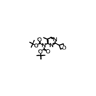 Cc1cnc(C2COC2)nc1N(C(=O)OC(C)(C)C)C(=O)OC(C)(C)C